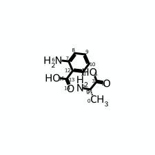 C[C@H](N)C(=O)O.Nc1ccccc1C(=O)O